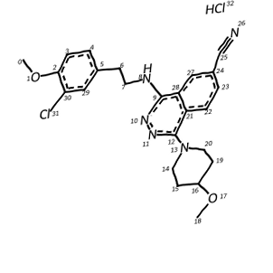 COc1ccc(CCNc2nnc(N3CCC(OC)CC3)c3ccc(C#N)cc23)cc1Cl.Cl